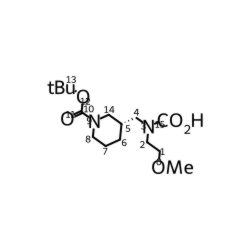 COCCN(C[C@@H]1CCCN(C(=O)OC(C)(C)C)C1)C(=O)O